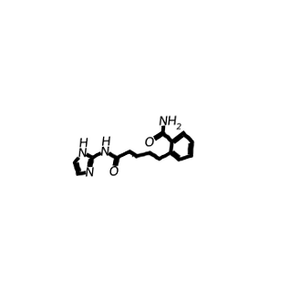 NC(=O)c1ccccc1CC[CH]CC(=O)Nc1ncc[nH]1